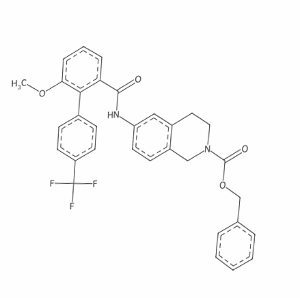 COc1cccc(C(=O)Nc2ccc3c(c2)CCN(C(=O)OCc2ccccc2)C3)c1-c1ccc(C(F)(F)F)cc1